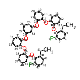 CCc1cccc(F)c1Oc1ccccc1Oc1ccccc1Oc1cccc(Oc2ccccc2Oc2ccccc2Oc2c(F)cccc2CC)c1